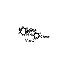 COc1cc(OC)c(NC(=O)N2CCC[N]CC2)c(OC)c1